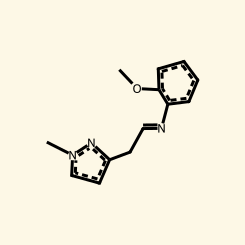 COc1ccccc1N=CCc1ccn(C)n1